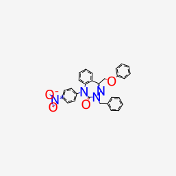 O=C1N(Cc2ccccc2)N=C(COc2ccccc2)c2ccccc2N1c1ccc([N+](=O)[O-])cc1